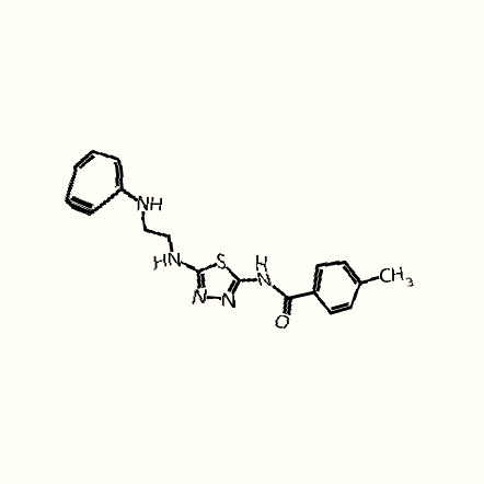 Cc1ccc(C(=O)Nc2nnc(NCCNc3ccccc3)s2)cc1